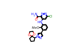 COc1c(Nc2cc(Cl)nnc2C(N)=O)cccc1-c1cnn(C2CCCC23OCCO3)c1